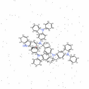 CC(C)(c1ccc(N2c3cc4c5ccccc5n(-c5ccccc5)c4cc3CC2(C)c2ccc3c(c2)c2c(n3-c3ccccc3)C=CCC2)cc1)N(c1ccc2[nH]c3c(c2c1)C=CCC3)c1ccc2c(c1)c1ccccc1n2-c1ccccc1